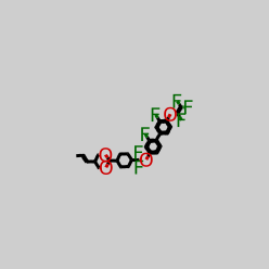 C/C=C/C1COC(C2CCC(C(F)(F)Oc3ccc(-c4ccc(OC(F)=C(F)F)c(F)c4)c(F)c3)CC2)OC1